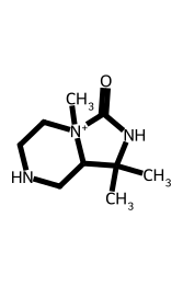 CC1(C)NC(=O)[N+]2(C)CCNCC12